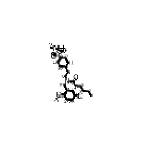 CCCCCC(=O)N(CCc1ccc(S(=O)(=O)NC)cc1)Cc1cc(Cl)ccc1OC